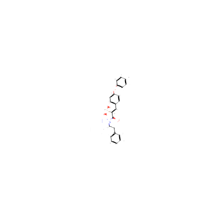 CS(=O)(=O)C(=Cc1ccc(Oc2ccccc2)cc1)C(=O)N[C@@H](Cc1ccccc1)C(=O)O